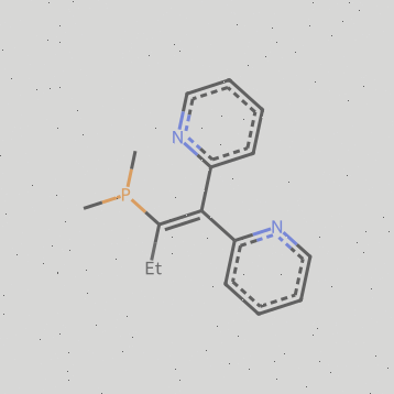 CCC(=C(c1ccccn1)c1ccccn1)P(C)C